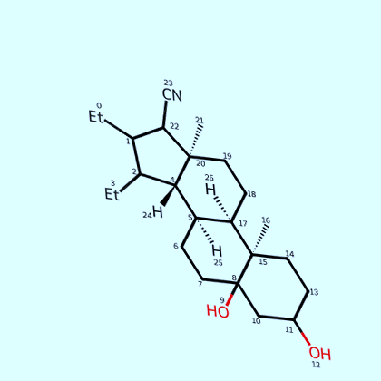 CCC1C(CC)[C@H]2[C@@H]3CCC4(O)CC(O)CC[C@]4(C)[C@@H]3CC[C@]2(C)C1C#N